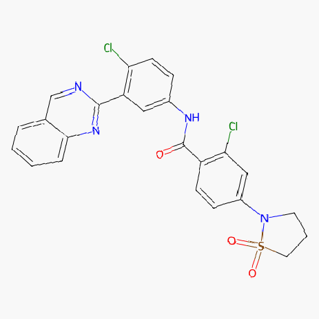 O=C(Nc1ccc(Cl)c(-c2ncc3ccccc3n2)c1)c1ccc(N2CCCS2(=O)=O)cc1Cl